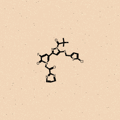 CC(C)(C)C(=O)n1nc(-c2cc(F)c(=O)n(CC(=O)c3ncccn3)c2)cc1SCc1ccc(Cl)s1